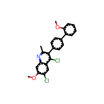 COc1cc2nc(C)c(-c3ccc(-c4ccccc4OC)cc3)c(Cl)c2cc1Cl